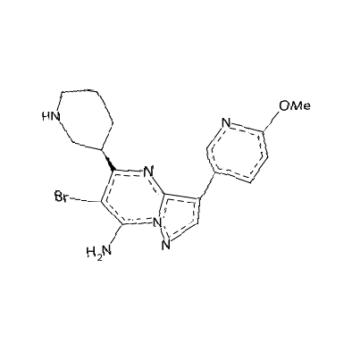 COc1ccc(-c2cnn3c(N)c(Br)c([C@@H]4CCCNC4)nc23)cn1